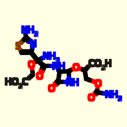 NC(=O)OCC(OC1NC(=O)C1NC(=O)C(N)(OCC(=O)O)c1csc(N)n1)C(=O)O